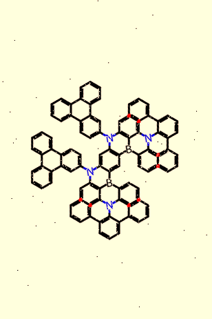 c1ccc(-c2cccc(-c3ccccc3)c2N2c3ccccc3B3c4cc5c(cc4N(c4ccc6c7ccccc7c7ccccc7c6c4)c4cccc2c43)N(c2ccc3c4ccccc4c4ccccc4c3c2)c2cccc3c2B5c2ccccc2N3c2c(-c3ccccc3)cccc2-c2ccccc2)cc1